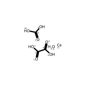 O.O=C(O)C(=O)O.O=C(O)O.[Ce]